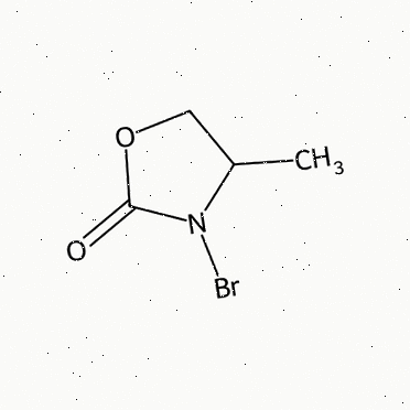 CC1COC(=O)N1Br